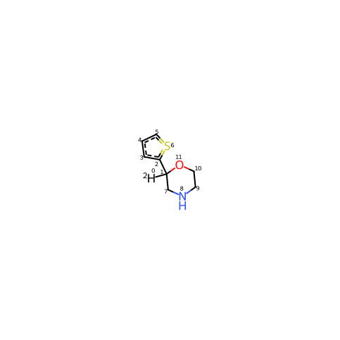 [2H]C1(c2cccs2)CNCCO1